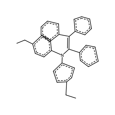 CCc1ccc(N(C(=C(c2ccccc2)c2ccccc2)c2ccccc2)c2ccc(CC)cc2)cc1